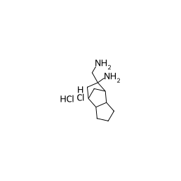 Cl.Cl.NCC1(N)CC2CC1C1CCCC21